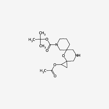 CC(=O)OC1CC12CNCC1(CCCN(C(=O)OC(C)(C)C)C1)O2